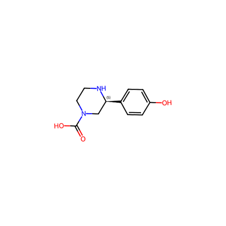 O=C(O)N1CCN[C@@H](c2ccc(O)cc2)C1